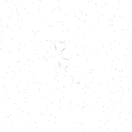 Cc1cc(-c2cccc(C)c2C)c(C)nc1OCCC(C)(C)O